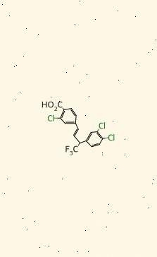 O=C(O)c1ccc(/C=C/C(c2ccc(Cl)c(Cl)c2)C(F)(F)F)cc1Cl